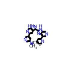 CN(C)c1cncc(-c2cc3c(-c4nc5c(-c6ccccn6)cncc5[nH]4)n[nH]c3cn2)c1